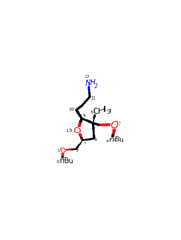 CCCCOC[C@@H]1C[C@@](C)(OCCCC)C(CCN)O1